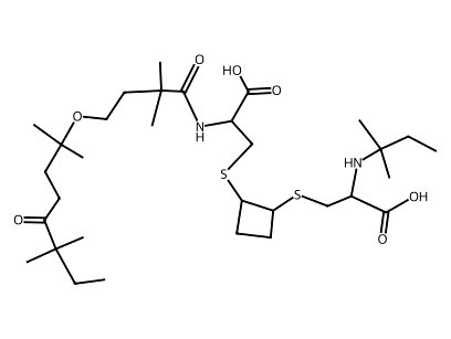 CCC(C)(C)NC(CSC1CCC1SCC(NC(=O)C(C)(C)CCOC(C)(C)CCC(=O)C(C)(C)CC)C(=O)O)C(=O)O